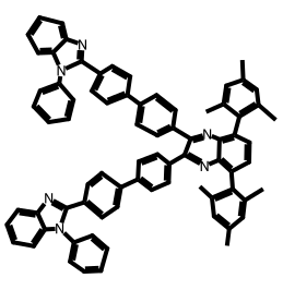 Cc1cc(C)c(-c2ccc(-c3c(C)cc(C)cc3C)c3nc(-c4ccc(-c5ccc(-c6nc7ccccc7n6-c6ccccc6)cc5)cc4)c(-c4ccc(-c5ccc(-c6nc7ccccc7n6-c6ccccc6)cc5)cc4)nc23)c(C)c1